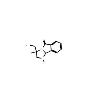 CC(C)CC1(C)C[NH+]([O-])C2c3ccccc3C(=O)N21